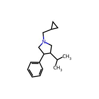 CC(C)C1CN(CC2CC2)CC1c1ccccc1